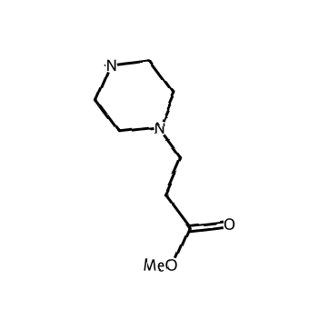 COC(=O)CCN1CC[N]CC1